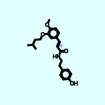 COc1ccc(/C=C/C(=O)NCCc2ccc(O)cc2)cc1OCCC(C)C